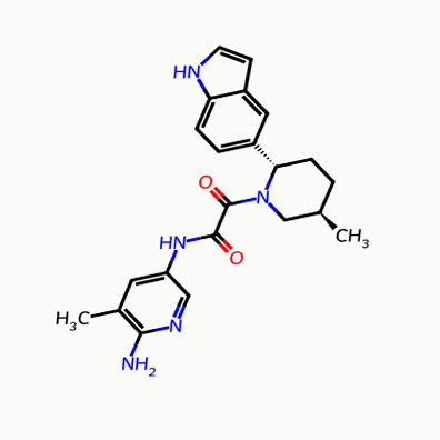 Cc1cc(NC(=O)C(=O)N2C[C@H](C)CC[C@H]2c2ccc3[nH]ccc3c2)cnc1N